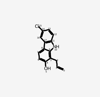 C=CCc1c(O)ccc2c1[nH]c1ccc(Cl)cc12